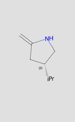 C=C1C[C@@H](C(C)C)CN1